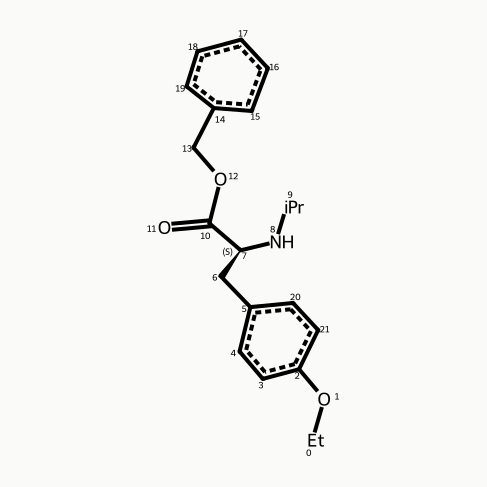 CCOc1ccc(C[C@H](NC(C)C)C(=O)OCc2ccccc2)cc1